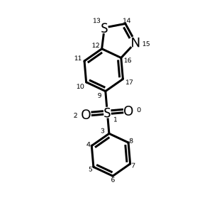 O=S(=O)(c1ccccc1)c1ccc2scnc2c1